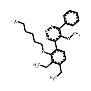 CCCCCCOc1c(-c2nnnc(-c3ccccc3)c2OC)ccc(CC)c1CC